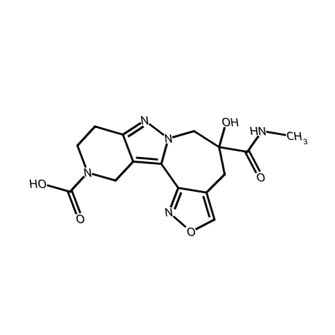 CNC(=O)C1(O)Cc2conc2-c2c3c(nn2C1)CCN(C(=O)O)C3